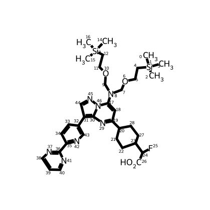 C[Si](C)(C)CCOCN(COCC[Si](C)(C)C)c1cc(C2CCC(C(F)C(=O)O)CC2)nc2c(-c3ccc(-c4ncccn4)nc3)cnn12